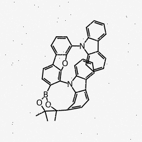 CC1(C)OB2OC1(C)c1ccc3c4ccccc4n(c3c1)-c1c2ccc2c1oc1c(-n3c4ccccc4c4ccccc43)cccc12